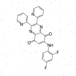 O=C1C=C(Nc2ccc(F)cc2F)C(=O)c2nc(-c3ccccn3)c(-c3ccccn3)nc21